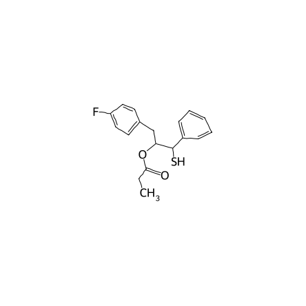 CCC(=O)OC(Cc1ccc(F)cc1)C(S)c1ccccc1